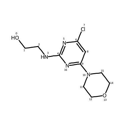 OCCNc1nc(Cl)cc(N2CCOCC2)n1